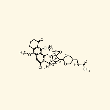 COc1c2c(c(O)c3c4c(c(C)cc13)[C@@H]1O[C@@]3(C5OCC(CNC(C)=O)CO5)O[C@@H]1[C@@](OC)(O4)[C@@]31CO1)C(=O)CCC2